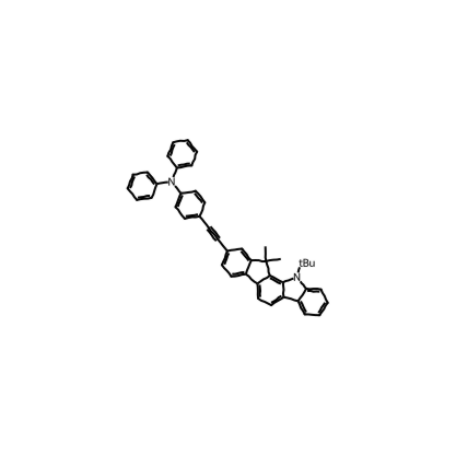 CC1(C)c2cc(C#Cc3ccc(N(c4ccccc4)c4ccccc4)cc3)ccc2-c2ccc3c4ccccc4n(C(C)(C)C)c3c21